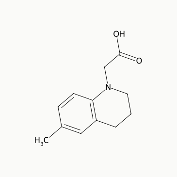 Cc1ccc2c(c1)CCCN2CC(=O)O